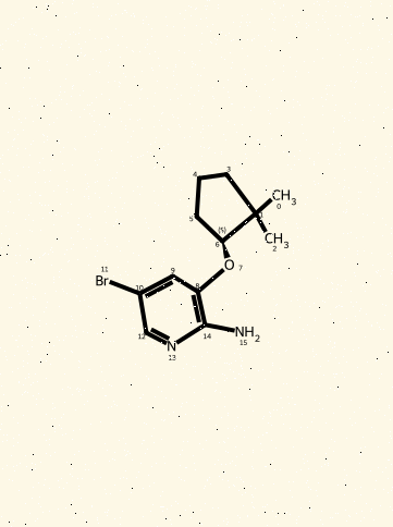 CC1(C)CCC[C@@H]1Oc1cc(Br)cnc1N